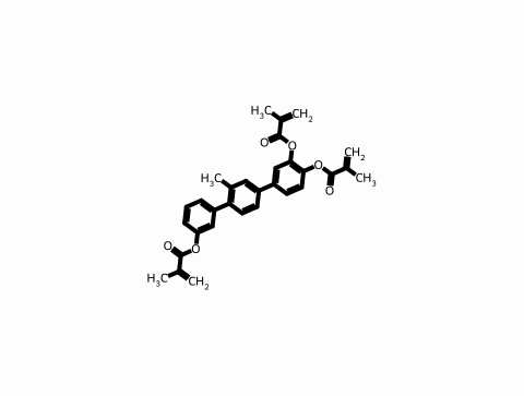 C=C(C)C(=O)Oc1cccc(-c2ccc(-c3ccc(OC(=O)C(=C)C)c(OC(=O)C(=C)C)c3)cc2C)c1